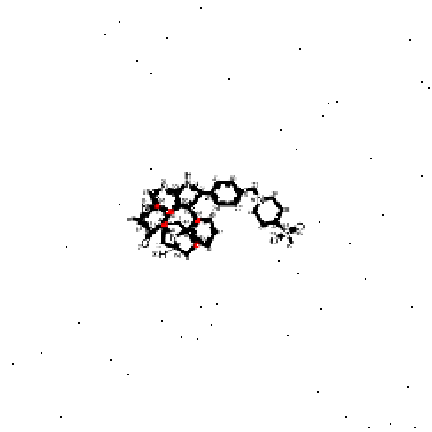 CN1C(=O)[C@]2(C[C@H]3CC[C@@H](C2)N3c2ccncn2)c2c1cnc1[nH]c(-c3ccc(CN4CCC(S(C)(=O)=O)CC4)cc3)c(-c3ccccc3)c21